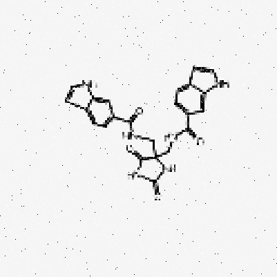 O=C1NC(=O)C(CNC(=O)c2ccc3cc[nH]c3c2)(CNC(=O)c2ccc3cc[nH]c3c2)N1